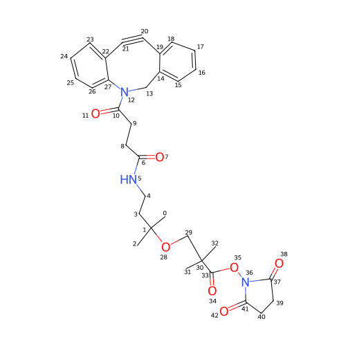 CC(C)(CCNC(=O)CCC(=O)N1Cc2ccccc2C#Cc2ccccc21)OCC(C)(C)C(=O)ON1C(=O)CCC1=O